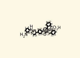 Nc1cccc(Nc2nccc(-c3ccc(NC(=O)[C@@H](Cc4ccccc4)NC(=O)c4ccccc4C(=O)O)cc3)n2)c1